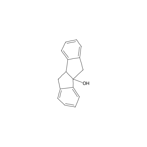 OC12Cc3ccccc3C1Cc1ccccc12